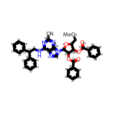 COCC1OC(n2cnc3c(NCC(c4ccccc4)c4ccccc4)nc(C#N)nc32)C(OC(=O)c2ccccc2)C1OC(=O)c1ccccc1